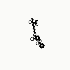 CCC(=O)C(CCCCCCOc1ccc(OC(=O)c2ccccc2)cc1Cl)C(=O)CC